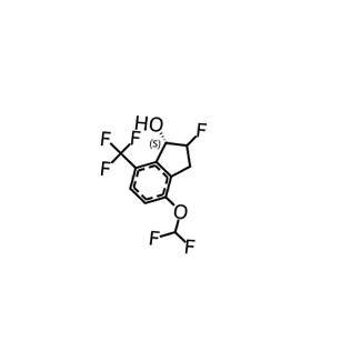 O[C@H]1c2c(C(F)(F)F)ccc(OC(F)F)c2CC1F